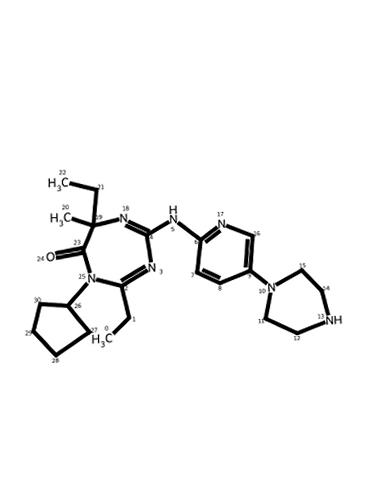 CCC1=NC(Nc2ccc(N3CCNCC3)cn2)=NC(C)(CC)C(=O)N1C1CCCC1